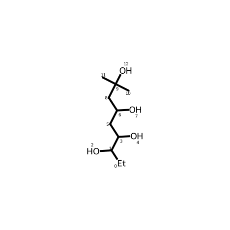 CCC(O)C(O)CC(O)CC(C)(C)O